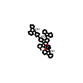 CC1CC=CC2=C1c1ccccc1C2(c1ccc(-c2ccc(C3(O)c4ccccc4-c4ccccc43)cc2)cc1)c1cc(C2(O)c3ccccc3-c3ccccc32)ccc1-c1ccc(C2(O)c3ccccc3-c3ccccc32)cc1